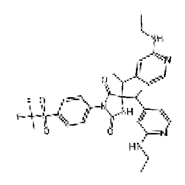 CCNc1cc(C(C)C2(C(C)c3ccnc(NCC)c3)NC(=O)N(c3ccc(S(=O)(=O)C(F)(F)F)cc3)C2=O)ccn1